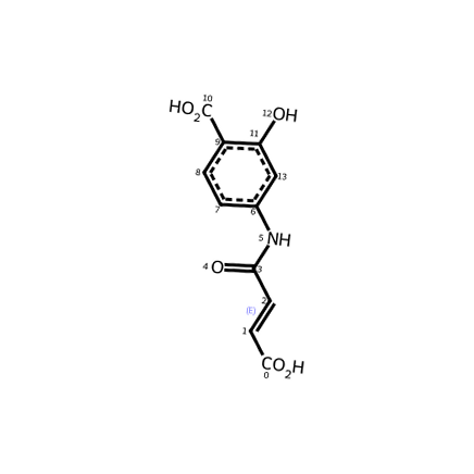 O=C(O)/C=C/C(=O)Nc1ccc(C(=O)O)c(O)c1